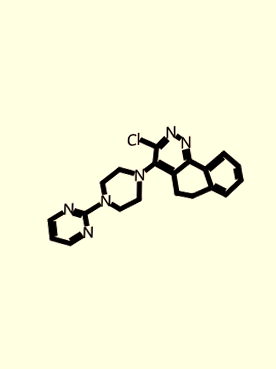 Clc1nnc2c(c1N1CCN(c3ncccn3)CC1)CCc1ccccc1-2